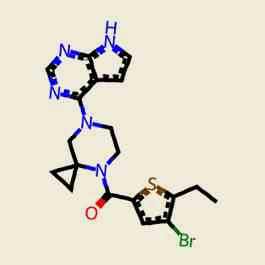 CCc1sc(C(=O)N2CCN(c3ncnc4[nH]ccc34)CC23CC3)cc1Br